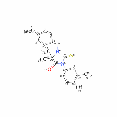 COc1ccc(CN2C(=S)N(c3ccc(C#N)c(C(F)(F)F)c3)C(=O)C2(C)C)cc1